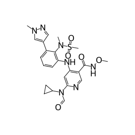 CONC(=O)c1cnc(N(C=O)C2CC2)cc1Nc1cccc(-c2cnn(C)c2)c1N(C)S(C)(=O)=O